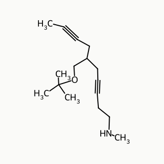 CC#CCC(CC#CCCNC)COC(C)(C)C